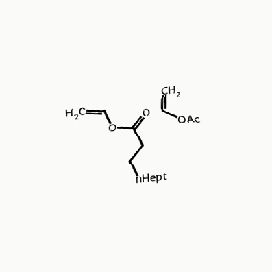 C=COC(=O)CCCCCCCCC.C=COC(C)=O